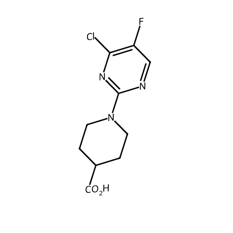 O=C(O)C1CCN(c2ncc(F)c(Cl)n2)CC1